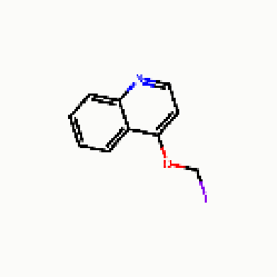 ICOc1ccnc2ccccc12